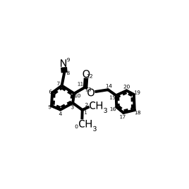 CC(C)c1cccc(C#N)c1C(=O)OCc1ccccc1